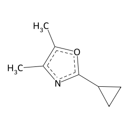 Cc1nc(C2CC2)oc1C